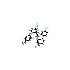 Cc1ccc(-c2ccc(Cl)cc2C(=O)c2cc(Cl)ccc2-c2ccc(C)cc2)cc1